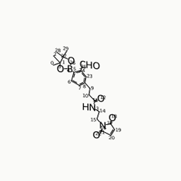 CC1(C)OB(c2ccc(CCC(=O)NCCN3C(=O)C=CC3=O)cc2C=O)OC1(C)C